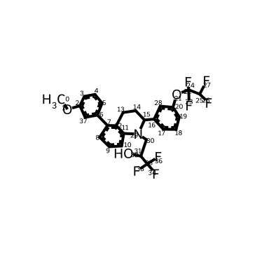 COc1cccc(-c2cccc3c2CCC(c2cccc(OC(F)(F)C(F)F)c2)N3CC(O)C(F)(F)F)c1